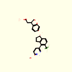 COc1ccc(-c2c(C(F)(F)F)ccc3c2CC[C@H]3Oc2ccc3c(c2)OCC3CC(=O)O)cn1